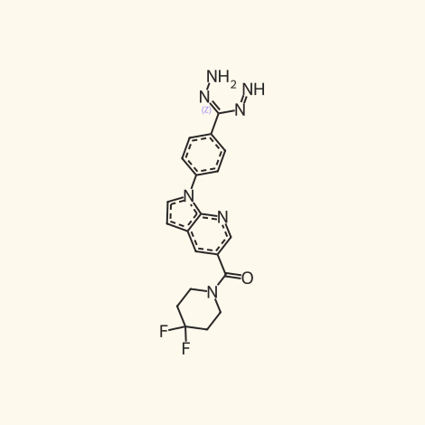 N=N/C(=N\N)c1ccc(-n2ccc3cc(C(=O)N4CCC(F)(F)CC4)cnc32)cc1